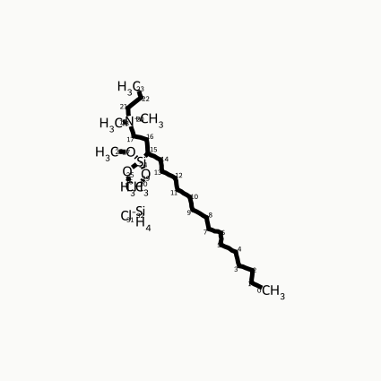 CCCCCCCCCCCCCCCC(CC[N+](C)(C)CCC)[Si](OC)(OC)OC.[Cl-].[SiH4]